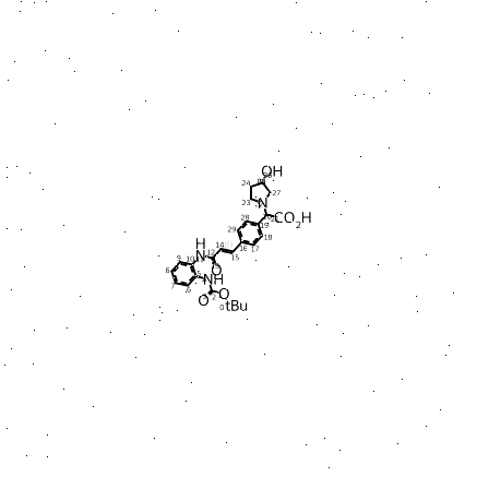 CC(C)(C)OC(=O)Nc1ccccc1NC(=O)/C=C/c1ccc(C(C(=O)O)N2CC[C@H](O)C2)cc1